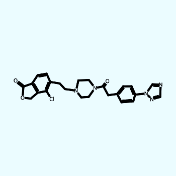 O=C1OCc2c1ccc(CCN1CCN(C(=O)Cc3ccc(-n4cncn4)cc3)CC1)c2Cl